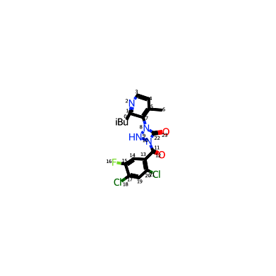 CCC(C)c1nccc(C)c1-n1[nH]n(C(=O)c2cc(F)c(Cl)cc2Cl)c1=O